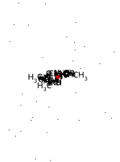 CCOc1ccc(-c2cncc(C(=O)NN[C@@H](C)c3cc(OC)cc(OC)c3)n2)cc1